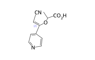 CC(O/C(=C\C#N)c1ccncc1)C(=O)O